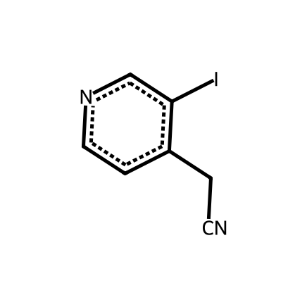 N#CCc1ccncc1I